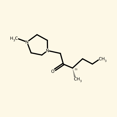 CCC[C@H](C)C(=O)CN1CCN(C)CC1